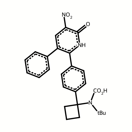 CC(C)(C)N(C(=O)O)C1(c2ccc(-c3[nH]c(=O)c([N+](=O)[O-])cc3-c3ccccc3)cc2)CCC1